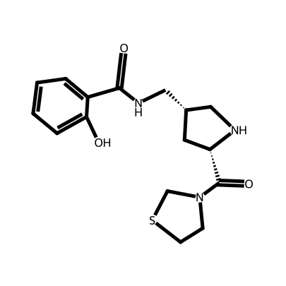 O=C(NC[C@@H]1CN[C@H](C(=O)N2CCSC2)C1)c1ccccc1O